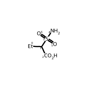 CCC(C(=O)O)S(N)(=O)=O